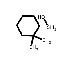 CC1(C)CCCCC1.O[SiH3]